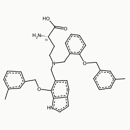 Cc1cccc(COc2ccccc2CN(CC[C@H](N)C(=O)O)Cc2ccc3cc[nH]c3c2OCc2cccc(C)c2)c1